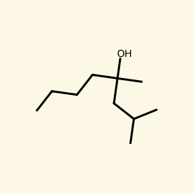 CCCCC(C)(O)CC(C)C